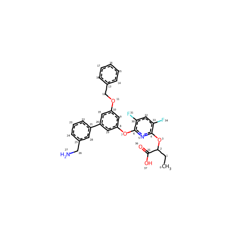 CCC(Oc1nc(Oc2cc(OCc3ccccc3)cc(-c3cccc(CN)c3)c2)c(F)cc1F)C(=O)O